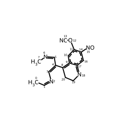 C\C=N/C=C(/C=N\C)C1=c2cc(OC#N)c(N=O)cc2=NCC1